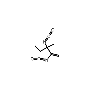 C=C(N=C=O)C(C)(CC)N=C=O